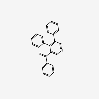 O=C(c1ccccc1)c1cn[c]c(-c2ccccc2)c1-c1ccccc1